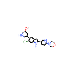 COC1=CC(c2cc3cc(-c4ccc(N5CCOCC5)nc4)[nH]c3cc2Cl)=CNC1